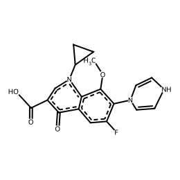 COc1c(N2C=CNC=C2)c(F)cc2c(=O)c(C(=O)O)cn(C3CC3)c12